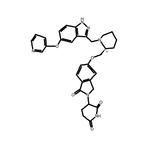 O=C1CCC(N2Cc3cc(OC[C@@H]4CCCCN4Cc4n[nH]c5ccc(Oc6cccnc6)cc45)ccc3C2=O)C(=O)N1